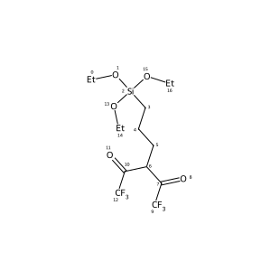 CCO[Si](CCCC(C(=O)C(F)(F)F)C(=O)C(F)(F)F)(OCC)OCC